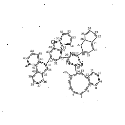 Cc1cccccc2ccccc2cc1-c1nc(C2=CC=C3C=CC=CC3C2)nc(-c2cc(-c3cc4ccccc4c4ccccc34)cc3oc4ccccc4c23)n1